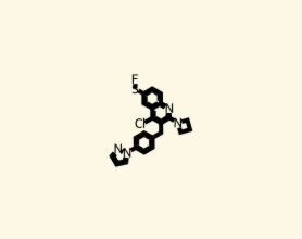 FSc1ccc2nc(N3CCC3)c(Cc3ccc(-n4cccn4)cc3)c(Cl)c2c1